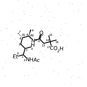 CCC(NC(C)=O)C(C)C[C@H](C)[C@@H](C)NC(=O)CC(C)(C)C(=O)O